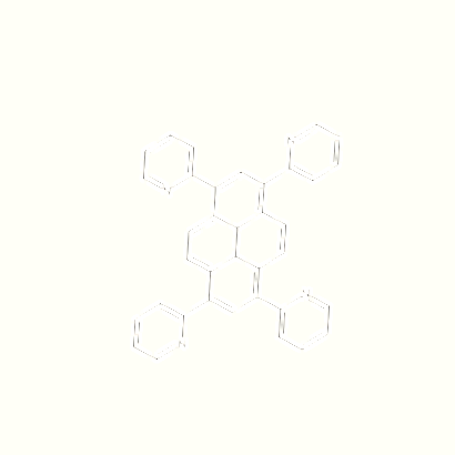 C1=CC2=C(c3ccccn3)C=C(c3ccccn3)C3=CC=C4C(c5ccccn5)=CC(c5ccccn5)=C1C4C32